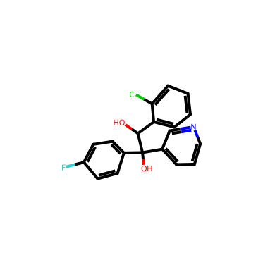 OC(c1ccccc1Cl)C(O)(c1ccc(F)cc1)c1cccnc1